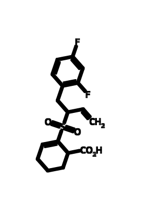 C=CC(Cc1ccc(F)cc1F)S(=O)(=O)C1=CCCCC1C(=O)O